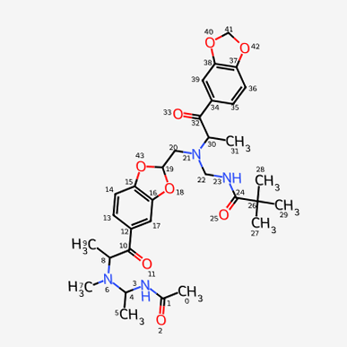 CC(=O)NC(C)N(C)C(C)C(=O)c1ccc2c(c1)OC(CN(CNC(=O)C(C)(C)C)C(C)C(=O)c1ccc3c(c1)OCO3)O2